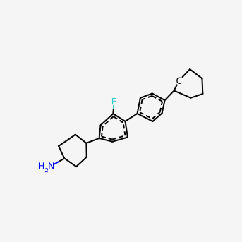 NC1CCC(c2ccc(-c3ccc(C4CCCCC4)cc3)c(F)c2)CC1